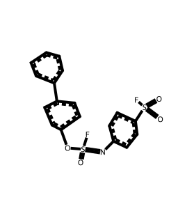 O=S(=O)(F)c1ccc(N=S(=O)(F)Oc2ccc(-c3ccccc3)cc2)cc1